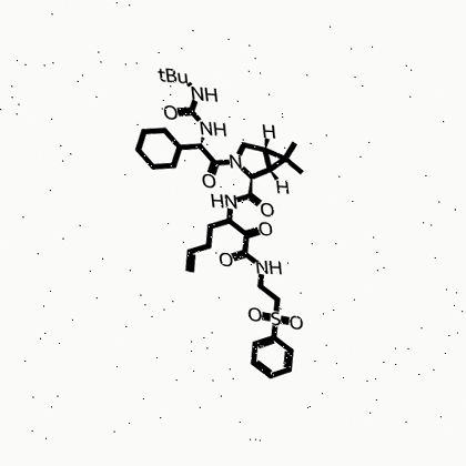 C=CCCC(NC(=O)[C@@H]1[C@@H]2[C@H](CN1C(=O)[C@@H](NC(=O)NC(C)(C)C)C1CCCCC1)C2(C)C)C(=O)C(=O)NCCS(=O)(=O)c1ccccc1